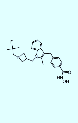 Cc1c(Cc2ccc(C(=O)NO)cc2)c2ccccc2n1CC1CN(CC(C)(C)F)C1